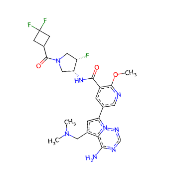 COc1ncc(-c2cc(CN(C)C)c3c(N)ncnn23)cc1C(=O)N[C@@H]1CN(C(=O)C2CC(F)(F)C2)C[C@@H]1F